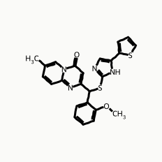 COc1ccccc1C(Sc1ncc(-c2cccs2)[nH]1)c1cc(=O)n2cc(C)ccc2n1